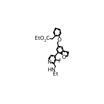 CCNCc1nccc(-c2cc(COc3ccccc3CC(=O)OCC)cc3ccoc23)c1F